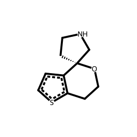 c1cc2c(s1)CCO[C@@]21CCNC1